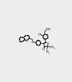 CC1(C)OC(c2ccc(CO)c(Cl)c2)=C(c2ccc(OCc3ccc4ccccc4n3)cc2)C1=O